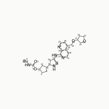 CCC(C)NC(=O)OC1CCC(C2CC(Nc3nccc4c(COC5CCOC5)ccnc34)=NN2)C1